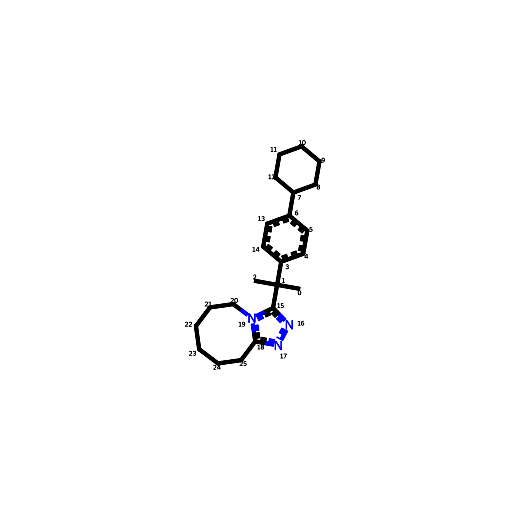 CC(C)(c1ccc(C2CCCCC2)cc1)c1nnc2n1CCCCCC2